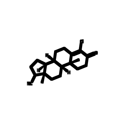 C[C@]12CCC(=O)C(Cl)=C1CC[C@@H]1[C@H]2CC[C@]2(C)C(C#N)CC[C@@H]12